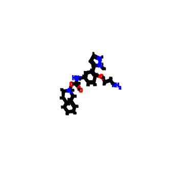 Cn1nccc1-c1cc(NC(=O)ON2CCC3CCCC=C3C2)ccc1OCCN